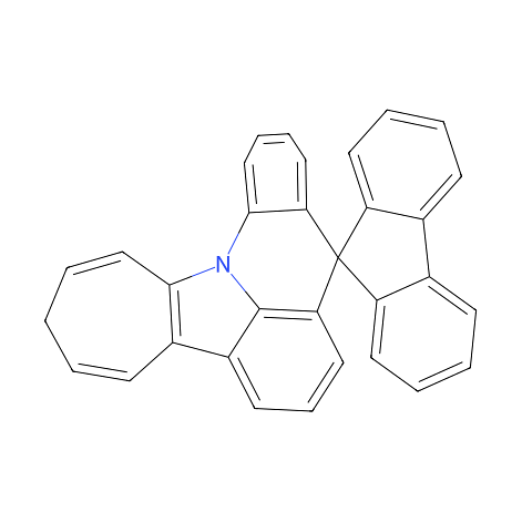 C1=Cc2c(n3c4c(cccc24)C2(c4ccccc4-c4ccccc42)c2ccccc2-3)C=CC1